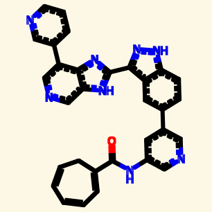 O=C(Nc1cncc(-c2ccc3[nH]nc(-c4nc5c(-c6cccnc6)cncc5[nH]4)c3c2)c1)C1=CC=CC=CC1